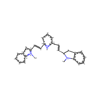 CN1c2ccccc2CC1/C=C/c1cccc(/C=C/c2cc3ccccc3n2C)n1